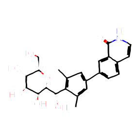 Cc1cc(-c2ccc3cc[nH]c(=O)c3c2)cc(C)c1[C@H](O)[C@H]1O[C@H](CO)[C@@H](O)[C@H](O)[C@@H]1O